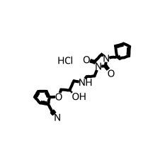 Cl.N#Cc1ccccc1OC[C@H](O)CNCCN1C(=O)CN(c2ccccc2)C1=O